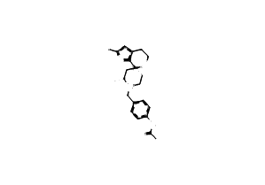 CC(=O)Nc1ccc(CN2CC[C@]3(C[C@@H]2C)OCCc2cc(Cl)sc23)cc1